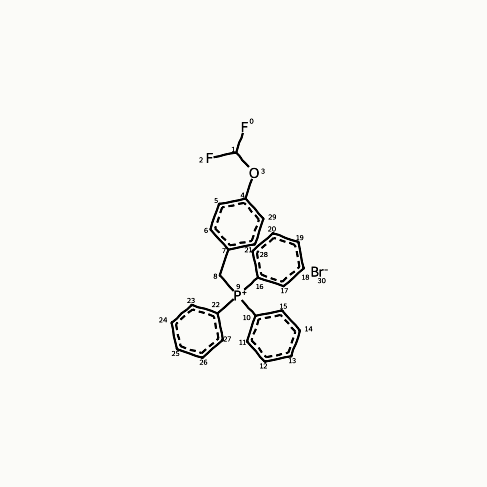 FC(F)Oc1ccc(C[P+](c2ccccc2)(c2ccccc2)c2ccccc2)cc1.[Br-]